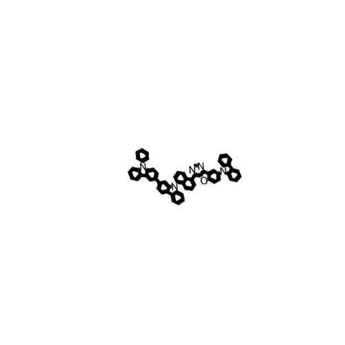 c1ccc(-n2c3ccccc3c3cc(-c4ccc5c6ccccc6n(-c6cccc7c(-c8ncnc9c8oc8ccc(-n%10c%11ccccc%11c%11ccccc%11%10)cc89)cccc67)c5c4)ccc32)cc1